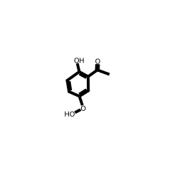 CC(=O)c1cc(OO)ccc1O